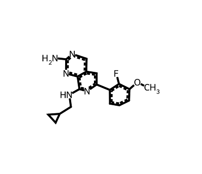 COc1cccc(-c2cc3cnc(N)nc3c(NCC3CC3)n2)c1F